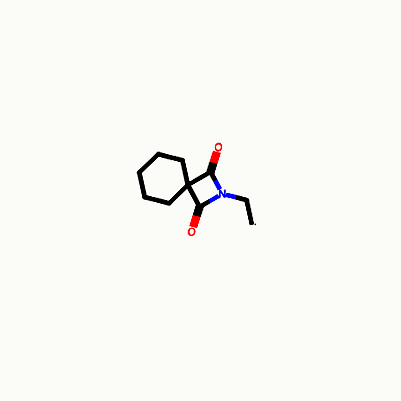 [CH2]CN1C(=O)C2(CCCCC2)C1=O